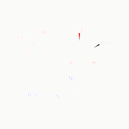 Nc1cc[nH]c(=O)n1.O=C[C@@H](O)[C@H](O)[C@H](O)COP(=O)(O)O